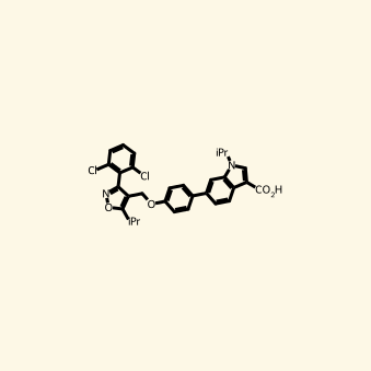 CC(C)c1onc(-c2c(Cl)cccc2Cl)c1COc1ccc(-c2ccc3c(C(=O)O)cn(C(C)C)c3c2)cc1